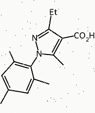 CCc1nn(-c2c(C)cc(C)cc2C)c(C)c1C(=O)O